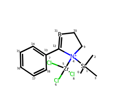 C[Si](C)(C)[N+]1([Zr]([Cl])([Cl])[Cl])CCB=C1c1ccccc1